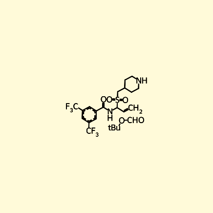 C=CC(NC(=O)c1cc(C(F)(F)F)cc(C(F)(F)F)c1)S(=O)(=O)CC1CCNCC1.CC(C)(C)OC=O